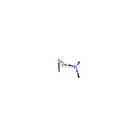 CC(=O)N(C)C.CC(C)=O